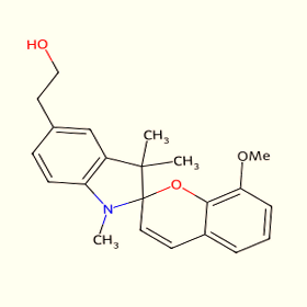 COc1cccc2c1OC1(C=C2)N(C)c2ccc(CCO)cc2C1(C)C